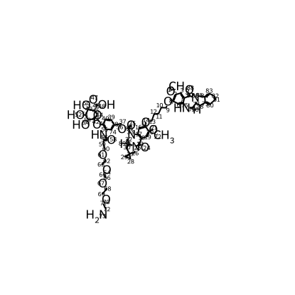 COc1cc2c(cc1OCCCCCOc1cc3c(cc1OC)C(=O)N1CC4(CC4)C[C@H]1CN3C(=O)OCc1ccc(O[C@@H]3O[C@H](C(=O)O)[C@@H](O)[C@H](O)[C@H]3O)c(NC(=O)CCOCCOCCOCCOCCN)c1)NC[C@@H]1Cc3ccccc3CN1C2=O